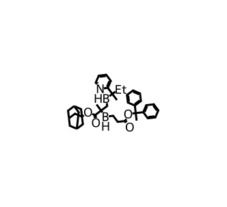 CCC(C)(BCC(C)(BCCC(=O)OC(C)(c1ccccc1)c1ccccc1)C(=O)OC12CC3CC(CC(C3)C1)C2)c1ccccn1